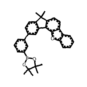 CC1(C)c2ccc(-c3cccc(B4OC(C)(C)C(C)(C)O4)c3)cc2-c2c1ccc1c2oc2ccccc21